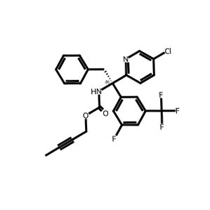 CC#CCOC(=O)N[C@](Cc1ccccc1)(c1cc(F)cc(C(F)(F)F)c1)c1ccc(Cl)cn1